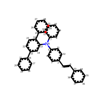 C(=C\c1ccc(N(c2ccccc2)c2cc(-c3ccccc3)ccc2-c2ccccc2)cc1)/c1ccccc1